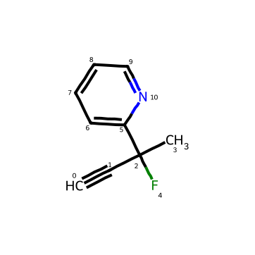 C#CC(C)(F)c1ccccn1